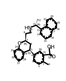 Cc1ccc([C@@H]2C[C@H](CCN[C@H](C)c3cccc4ccccc34)Oc3ccccc32)cc1C(=O)O